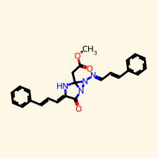 COC(=O)CC12NC(=CC=Cc3ccccc3)C(=O)N1N2N=CC=Cc1ccccc1